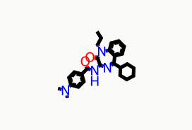 CCCN1C(=O)C(NC(=O)c2ccc(N(C)C)cc2)N=C(C2CCCCC2)c2ccccc21